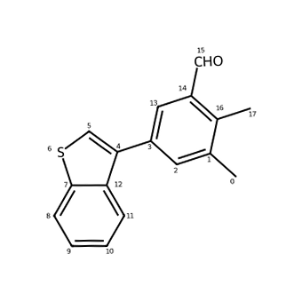 Cc1cc(-c2csc3ccccc23)cc(C=O)c1C